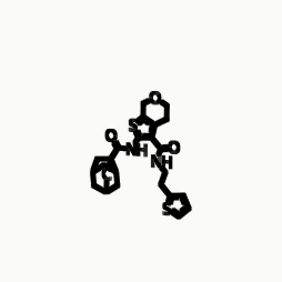 O=C(NCCc1cccs1)c1c(NC(=O)C23CC4CC(CC2C4)C3)sc2c1CCOC2